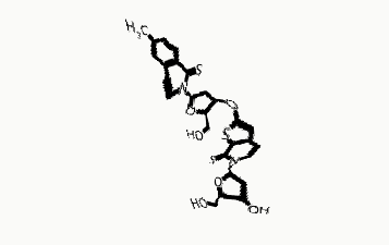 Cc1ccc2c(=S)n([C@H]3CC(Oc4cc5ccn([C@H]6CC(O)[C@@H](CO)O6)c(=S)c5s4)[C@@H](CO)O3)ccc2c1